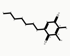 CCCCCCCC1=CC(=O)C(C)=C(C)C1=O